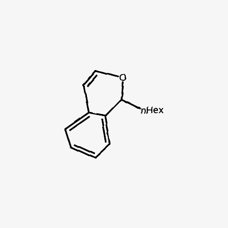 [CH2]CCCCCC1OC=Cc2ccccc21